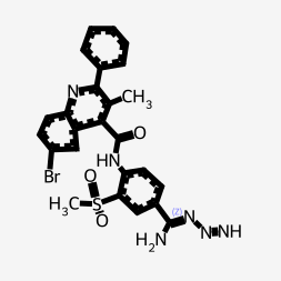 Cc1c(-c2ccccc2)nc2ccc(Br)cc2c1C(=O)Nc1ccc(/C(N)=N/N=N)cc1S(C)(=O)=O